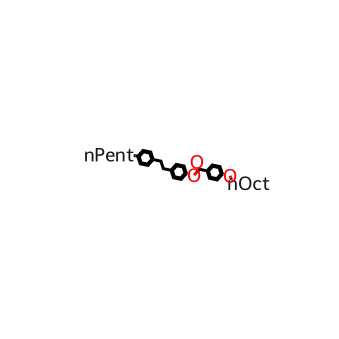 CCCCCCCCOc1ccc(C(=O)Oc2ccc(CCc3ccc(CCCCC)cc3)cc2)cc1